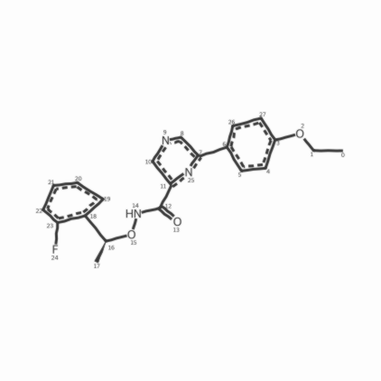 CCOc1ccc(-c2cncc(C(=O)NO[C@@H](C)c3ccccc3F)n2)cc1